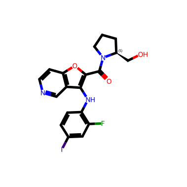 O=C(c1oc2ccncc2c1Nc1ccc(I)cc1F)N1CCC[C@H]1CO